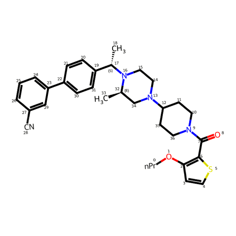 CCCOc1ccsc1C(=O)N1CCC(N2CCN([C@@H](C)c3ccc(-c4cccc(C#N)c4)cc3)[C@H](C)C2)CC1